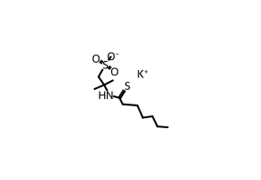 CCCCCCC(=S)NC(C)(C)CS(=O)(=O)[O-].[K+]